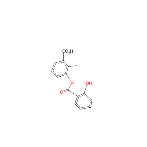 Cc1c(OC(=O)c2ccccc2O)cccc1C(=O)O